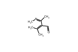 C/N=C(/C)C(C=O)=C(C)C